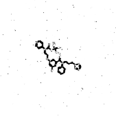 CC(C)(C)OC(=O)N(CCOc1cc(Cl)cc(C(=O)N(CCCn2ncnn2)c2ccccc2)c1)c1ccncc1